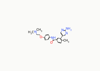 Cc1ccc(C(=O)Nc2ccc(OCCN(C)C)cc2)cc1-c1cnc(N)nc1